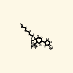 CCCCCCCOc1ccc(C2CCC(=O)C2)cc1C(F)(F)F